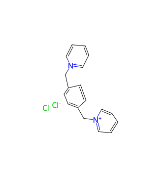 [Cl-].[Cl-].c1cc[n+](Cc2ccc(C[n+]3ccccc3)cc2)cc1